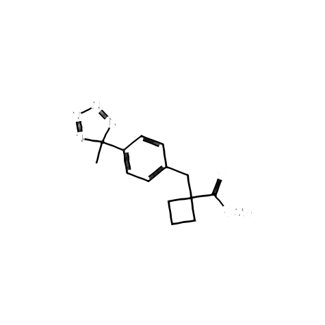 COC(=O)C1(Cc2ccc(C3(C)N=NN=N3)cc2)CCC1